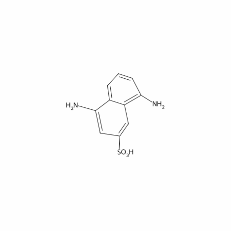 Nc1cc(S(=O)(=O)O)cc2c(N)cccc12